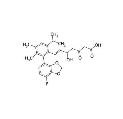 Cc1cc(C(C)C)c(C=CC(O)CC(=O)CC(=O)O)c(-c2ccc(F)c3c2OCO3)c1C